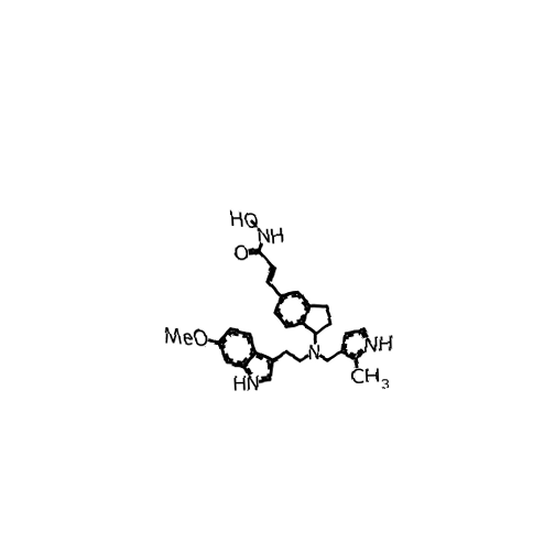 COc1ccc2c(CCN(Cc3cc[nH]c3C)C3CCc4cc(/C=C/C(=O)NO)ccc43)c[nH]c2c1